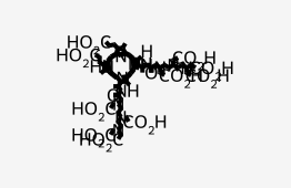 CC1=C(CCC(=O)O)c2cc3[nH]c(cc4nc(cc5[nH]c(cc1n2)c(C)c5C(C)NC(=O)CN(CCN(CCN(CC(=O)O)CC(=O)O)CC(=O)O)CC(=O)O)C(C)=C4C(C)NC(=O)CN(CCN(CCN(CC(=O)O)CC(=O)O)CC(=O)O)CC(=O)O)c(C)c3CCC(=O)O